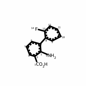 Nc1c(C(=O)O)cccc1-c1ccccc1F